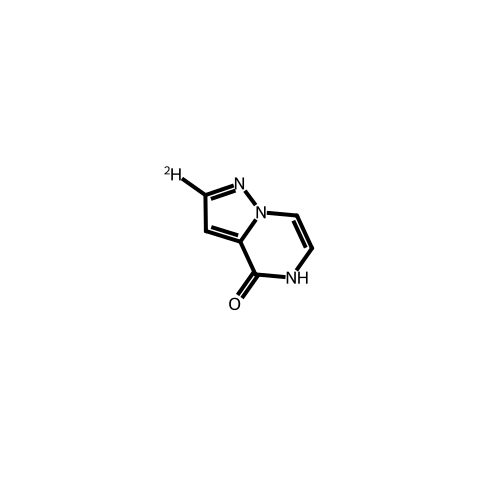 [2H]c1cc2c(=O)[nH]ccn2n1